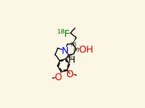 COc1cc2c(cc1OC)[C@H]1C[C@@H](O)[C@H](CC(C)[18F])CN1CC2